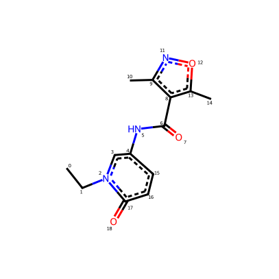 CCn1cc(NC(=O)c2c(C)noc2C)ccc1=O